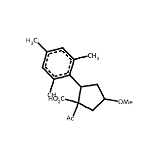 COC1CC(c2c(C)cc(C)cc2C)C(C(C)=O)(C(=O)O)C1